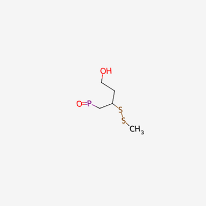 CSSC(CCO)CP=O